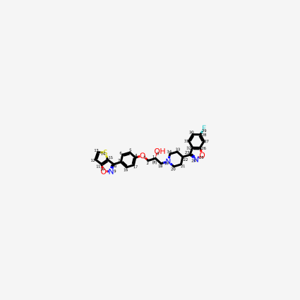 O[C@@H](COc1ccc(-c2noc3ccsc23)cc1)CN1CCC(c2noc3cc(F)ccc23)CC1